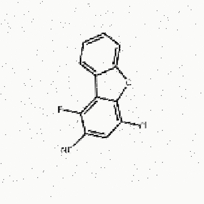 N#Cc1cc(Cl)c2oc3ccccc3c2c1F